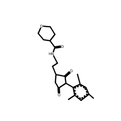 Cc1cc(C)c(C2C(=O)CC(CCNC(=O)C3CCOCC3)C2=O)c(C)c1